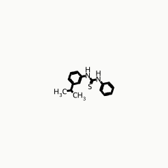 CC(C)c1cccc(NC(=S)Nc2ccccc2)c1